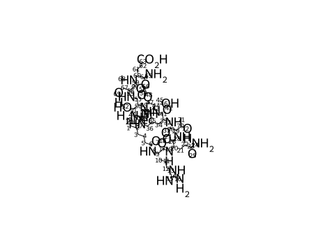 CCCCCCCCCCCCCCCC(=O)N[C@@H](CCCNC(=N)N)C(=O)N[C@@H](CCC(N)=O)C(=O)N[C@H](C(=O)N[C@@H](CCCNC(=N)N)C(=O)N[C@@H](CO)C(=O)N[C@@H](CO)C(=O)N[C@H](C(=O)N[C@@H](CCC(=O)O)C(N)=O)[C@@H](C)O)[C@@H](C)O